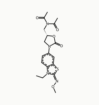 CCn1c(=NOC)sc2cc(N3C[C@H](CN(C(C)=O)C(C)=O)OC3=O)ccc21